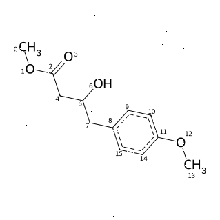 COC(=O)CC(O)Cc1ccc(OC)cc1